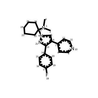 CN(C)C1(n2cc(-c3ccncc3)c(-c3ccc(F)cc3)n2)CCCCC1